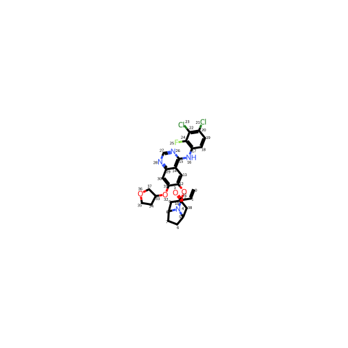 C=CC(=O)N1C2CCC1CC(Oc1cc3c(Nc4ccc(Cl)c(Cl)c4F)ncnc3cc1OC1CCOC1)C2